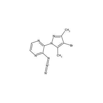 Cc1nn(-c2nccnc2N=[N+]=[N-])c(C)c1Br